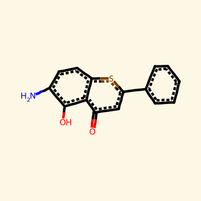 Nc1ccc2sc(-c3ccccc3)cc(=O)c2c1O